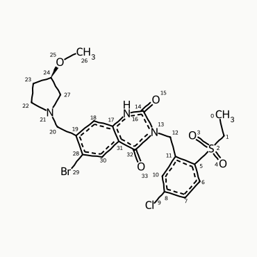 CCS(=O)(=O)c1ccc(Cl)cc1Cn1c(=O)[nH]c2cc(CN3CC[C@@H](OC)C3)c(Br)cc2c1=O